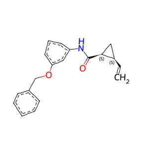 C=C[C@@H]1C[C@@H]1C(=O)Nc1cccc(OCc2ccccc2)c1